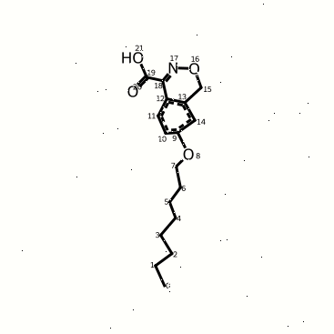 CCCCCCCCOc1ccc2c(c1)CON=C2C(=O)O